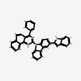 c1ccc(-c2nc(-n3c4ccccc4c4cc(-c5cc6ccccc6s5)ccc43)nc3c2ccc2ccccc23)cc1